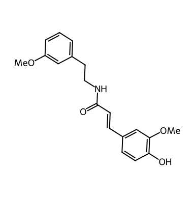 COc1cccc(CCNC(=O)/C=C/c2ccc(O)c(OC)c2)c1